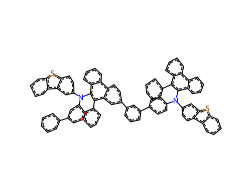 c1ccc(-c2cccc(N(c3ccc4sc5ccccc5c4c3)c3c(-c4ccccc4)c4cc(-c5cccc(-c6ccc(N(c7ccc8c(c7)sc7ccccc78)c7c(-c8ccccc8)c8ccccc8c8ccccc78)cc6)c5)ccc4c4ccccc34)c2)cc1